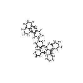 c1ccc(-n2c3ccccc3c3c4ccccc4cc(-c4cccc(-c5ccc6c(c5)-c5cccc7cccc(c57)O6)c4)c32)cc1